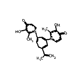 C=C(C)C1=CC(n2ccc(=O)c(O)c2C)=CC(n2ccc(=O)c(O)c2C)=CC1